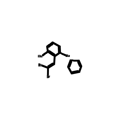 CCC(C)c1cccc(C(C)CC)c1C=C(Br)Br.c1ccccc1